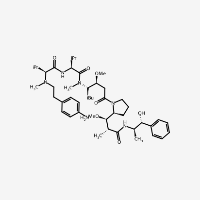 CC[C@H](C)[C@@H]([C@H](CC(=O)N1CCC[C@H]1[C@H](OC)[C@@H](C)C(=O)N[C@H](C)[C@H](O)c1ccccc1)OC)N(C)C(=O)[C@@H](NC(=O)[C@H](C(C)C)N(C)CCc1ccc(N)cc1)C(C)C